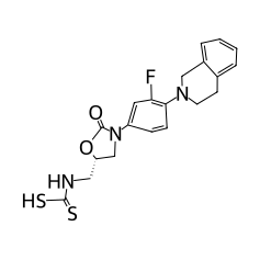 O=C1O[C@@H](CNC(=S)S)CN1c1ccc(N2CCc3ccccc3C2)c(F)c1